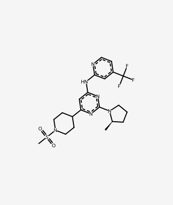 C[C@@H]1CCCN1c1nc(Nc2cc(C(F)(F)F)ccn2)cc(C2CCN(S(C)(=O)=O)CC2)n1